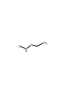 CCONCl